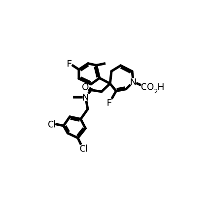 Cc1cc(F)ccc1C1(CC(=O)N(C)Cc2cc(Cl)cc(Cl)c2)CC=CN(C(=O)O)C=C1F